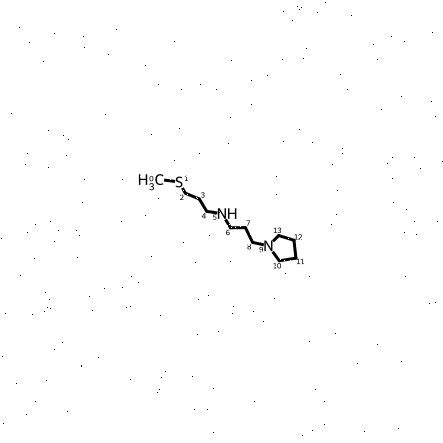 CSCCCNCCCN1CCCC1